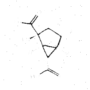 N[C@@]1(C(=O)O)C[C@H](F)[C@H]2[C@H](C(=O)O)[C@H]21